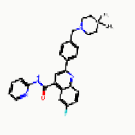 C[Si]1(C)CCN(Cc2ccc(-c3cc(C(=O)Nc4ccccn4)c4cc(F)ccc4n3)cc2)CC1